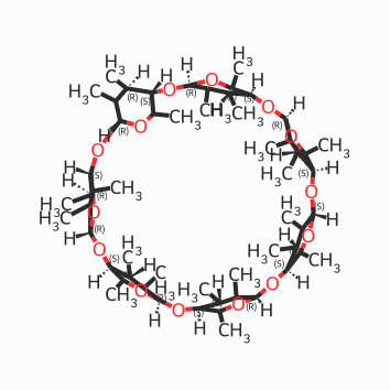 CC1[C@@H]2OC(C)[C@@H](O[C@H]3OC(C)[C@@H](O[C@H]4OC(C)[C@@H](O[C@H]5OC(C)[C@@H](O[C@@H]6OC(C)[C@@H](O[C@H]7OC(C)[C@@H](O[C@H]8OC(C)[C@@H](O2)[C@H](C)C8C)[C@H](C)C7C)[C@H](C)C6C)[C@H](C)C5C)[C@H](C)C4C)[C@H](C)C3C)[C@@H]1C